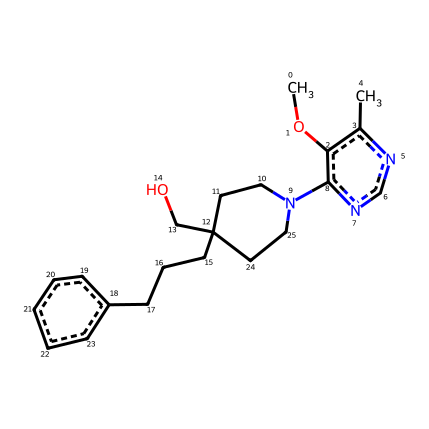 COc1c(C)ncnc1N1CCC(CO)(CCCc2ccccc2)CC1